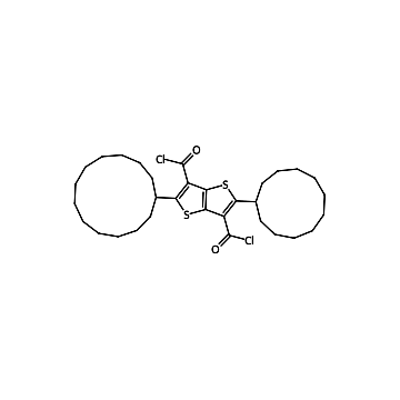 O=C(Cl)c1c(C2CCCCCCCCCCCC2)sc2c(C(=O)Cl)c(C3CCCCCCCCCC3)sc12